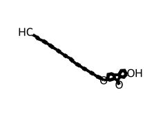 C#CC#CC#CC#CC#CC#CC#CC#CC#CC#CC#COc1ccc2c(c1)C(=O)c1cc(O)ccc1-2